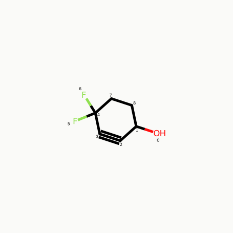 OC1C#CC(F)(F)CC1